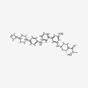 CC(O)C(=O)N1CCC(Oc2cc(C#N)cc(-c3ncnc(Nc4ccc(N5CCN(C6COC6)CC5)cc4)n3)c2)CC1